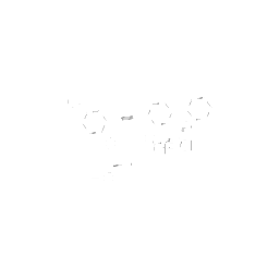 COc1c(C#Cc2cc(Cl)ccc2OCC(=O)O)ccc(-c2ccccc2)c1S(C)(=O)=O